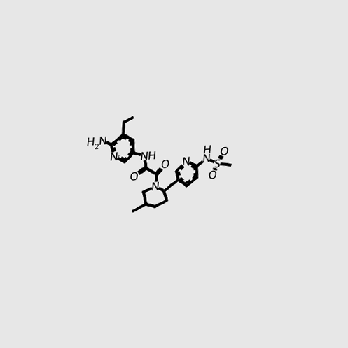 CCc1cc(NC(=O)C(=O)N2CC(C)CCC2c2ccc(NS(C)(=O)=O)nc2)cnc1N